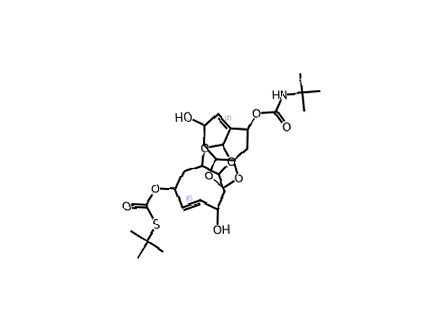 CC(C)(C)NC(=O)OC1CC2OCOC2CC(O)/C=C/1C1OC2CC(O)/C=C/C(OC(=O)SC(C)(C)C)CC2O1